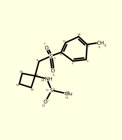 Cc1ccc(S(=O)(=O)CC2(N[S+]([O-])C(C)(C)C)CCC2)cc1